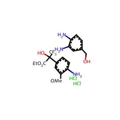 CCOC(=O)C(O)(c1ccc(N)c(OC)c1)C(F)(F)F.Cl.Cl.Nc1ccc(CO)cc1N